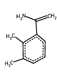 C=C(N)c1cccc(C)c1C